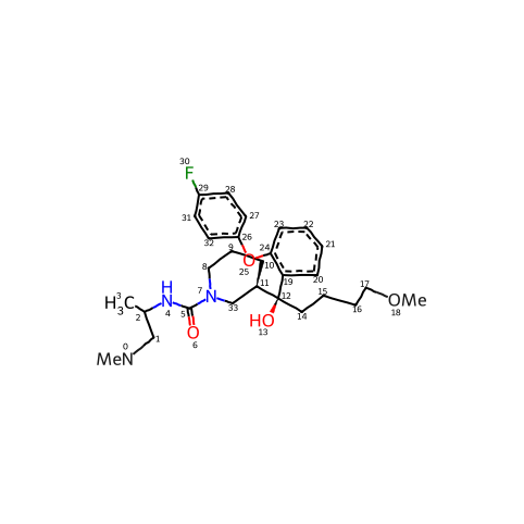 CNCC(C)NC(=O)N1CCC[C@@H]([C@@](O)(CCCCOC)c2ccccc2Oc2ccc(F)cc2)C1